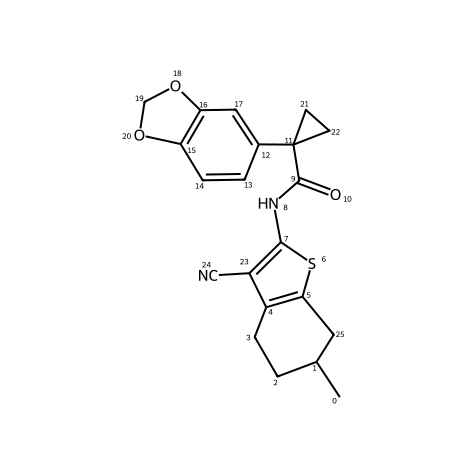 CC1CCc2c(sc(NC(=O)C3(c4ccc5c(c4)OCO5)CC3)c2C#N)C1